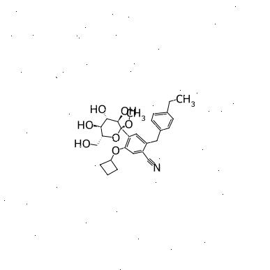 CCc1ccc(Cc2cc([C@]3(OC)O[C@H](CO)[C@@H](O)[C@H](O)[C@H]3O)c(OC3CCC3)cc2C#N)cc1